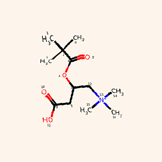 CC(C)(C)C(=O)OC(CC(=O)O)C[N+](C)(C)C